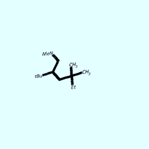 CCC(C)(C)CC(CNC)C(C)(C)C